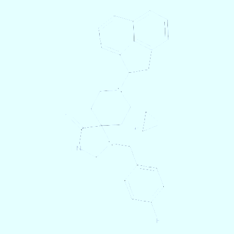 O=C1NCN(C(c2ccc(F)cc2)[C@@H]2CO2)C12CCN(C1Cc3cccc4cccc1c34)CC2